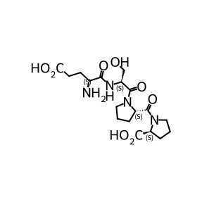 N[C@@H](CCC(=O)O)C(=O)N[C@@H](CO)C(=O)N1CCC[C@H]1C(=O)N1CCC[C@H]1C(=O)O